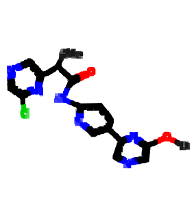 CCOc1cncc(-c2ccc(NC(=O)C(OC)c3cncc(Cl)n3)nc2)n1